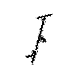 CCCCCC(CCCCC)CC(=O)OCCCCCCCCCC(CCCCCCCCCOC(=O)CC(CCCCC)CCCCC)OC(=O)CN(C)C